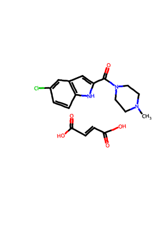 CN1CCN(C(=O)c2cc3cc(Cl)ccc3[nH]2)CC1.O=C(O)C=CC(=O)O